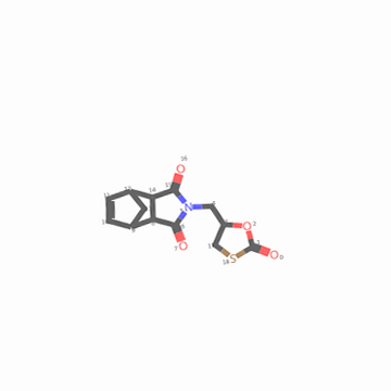 O=C1OC(CN2C(=O)C3C4C=CC(C4)C3C2=O)CS1